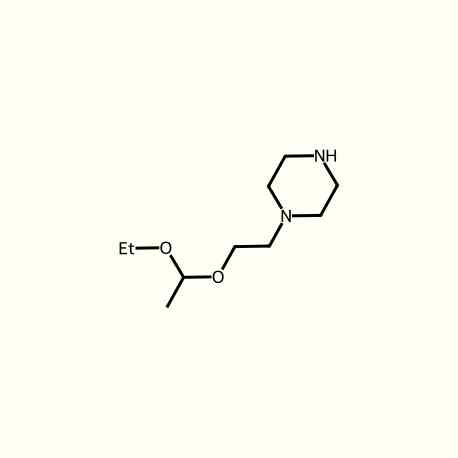 CCOC(C)OCCN1CCNCC1